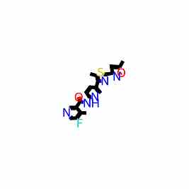 Cc1cc(-c2nc(-c3ccc(NC(=O)c4cncc(F)c4C)nc3)c(C)s2)no1